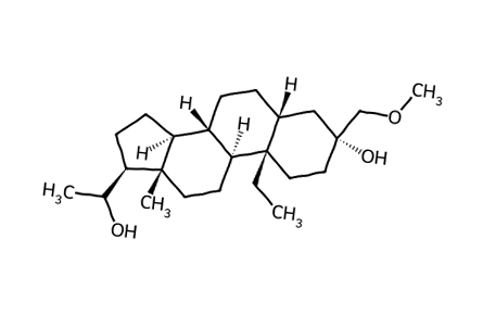 CC[C@]12CC[C@](O)(COC)C[C@H]1CC[C@H]1[C@@H]3CC[C@H](C(C)O)[C@@]3(C)CC[C@@H]12